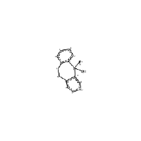 CC(C)C1(O)c2ccccc2CCc2ccccc21